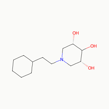 OC1[C@H](O)CN(CCC2CCCCC2)C[C@@H]1O